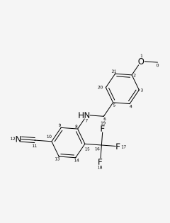 COc1ccc(CNc2cc(C#N)ccc2C(F)(F)F)cc1